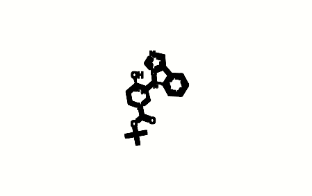 CC(C)(C)OC(=O)N1CC[C@H](O)[C@@H]([C@H]2c3ccccc3-c3cncn32)C1